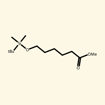 COC(=O)CCCCCO[Si](C)(C)C(C)(C)C